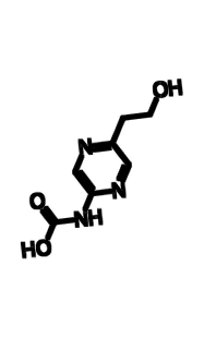 O=C(O)Nc1cnc(CCO)cn1